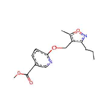 CCCc1noc(C)c1COc1ccc(C(=O)OC)cn1